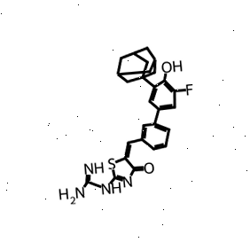 N=C(N)NC1=NC(=O)/C(=C\c2cccc(-c3cc(F)c(O)c(C45CC6CC(CC(C6)C4)C5)c3)c2)S1